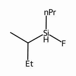 CCC[SiH](F)C(C)CC